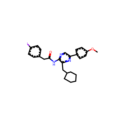 COc1ccc(-c2cnc(NC(=O)Cc3ccc(I)cc3)c(CC3CCCCC3)n2)cc1